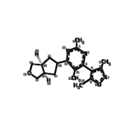 Cc1nc(-c2c(C)noc2C)c(C)c(C2C[C@H]3COC[C@H]3C2)n1